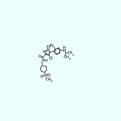 CCn1nc(C(=O)NCC2CCC(S(C)(=O)=O)CC2)c(Cl)c1-c1ccc(NC(C)C(F)(F)F)cc1C(C)C